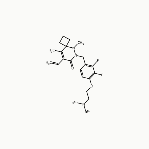 C=CC1=C(C)C2(CCC2)N(C)N(Cc2ccc(OCCN(CCC)CCC)c(F)c2F)C1=O